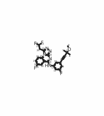 COC(C)(C)C#Cc1cc(F)cc(Nc2nc3nnc(CC(F)F)n3c3ccc(F)cc23)c1